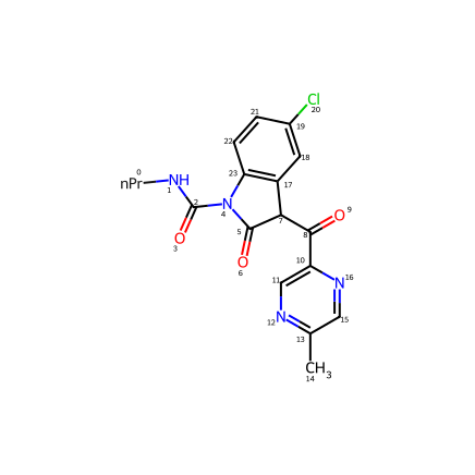 CCCNC(=O)N1C(=O)C(C(=O)c2cnc(C)cn2)c2cc(Cl)ccc21